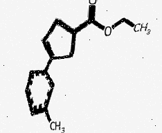 CCOC(=O)C1CC=C(c2cccc(C)c2)C1